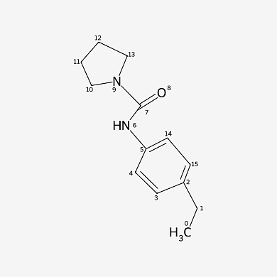 CCc1ccc(NC(=O)N2CCCC2)cc1